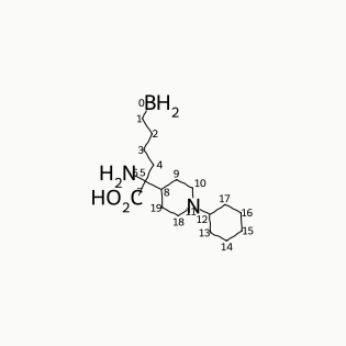 BCCCCC(N)(C(=O)O)C1CCN(C2CCCCC2)CC1